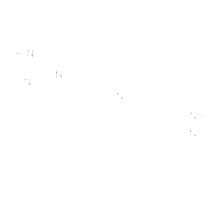 Nc1ncc2ccc(C3Nc4ccc5[nH]ncc5c4C4C5CCC(C5)C34)cc2n1